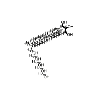 CO.CO.CO.CO.CO.CO.CO.CO.CO.CO.CO.CO.CO.CO.CO.CO.CO.CO.CO.OCC(O)CO